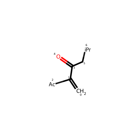 C=C(C(C)=O)C(=O)CC(C)C